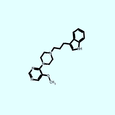 COc1cncnc1N1CCN(CCCc2c[nH]c3ccccc23)CC1